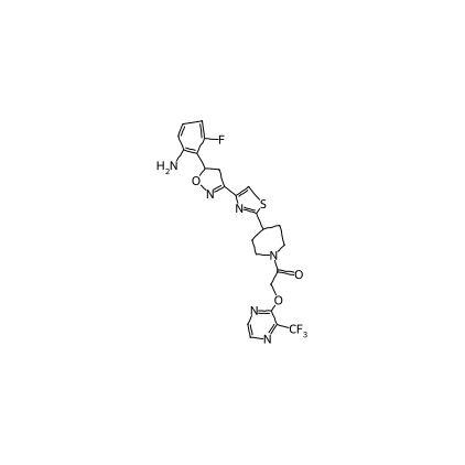 Nc1cccc(F)c1C1CC(c2csc(C3CCN(C(=O)COc4nccnc4C(F)(F)F)CC3)n2)=NO1